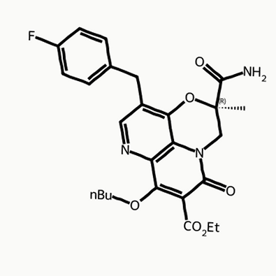 CCCCOc1c(C(=O)OCC)c(=O)n2c3c(c(Cc4ccc(F)cc4)cnc13)O[C@@](C)(C(N)=O)C2